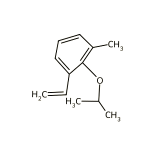 C=Cc1cccc(C)c1OC(C)C